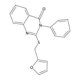 O=c1c2ccccc2nc(SCc2ccco2)n1-c1ccccc1